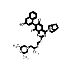 C[C@@H]1CN(C[C@H](C)SCOc2nc(N3CC4CCC(C3)N4)c3cc(Cl)c(-c4cc(O)cc5ccccc45)c(F)c3n2)C[C@H](C)O1